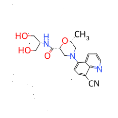 C[C@@H]1CN(c2ccc(C#N)c3ncccc23)C[C@H](C(=O)NC(CO)CO)O1